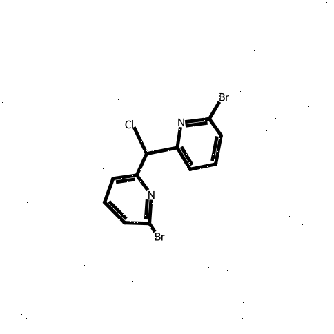 ClC(c1cccc(Br)n1)c1cccc(Br)n1